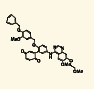 COCCOc1cc2ncnc(Nc3ccc(OCc4ccc(OCc5ccccc5)c(OC)c4)c(C4=CC(=O)C=CC4=O)c3)c2cc1OC